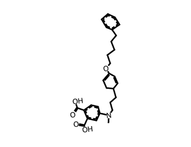 CN(CCCC1C=CC(OCCCCCc2ccccc2)=CC1)c1ccc(C(=O)O)c(C(=O)O)c1